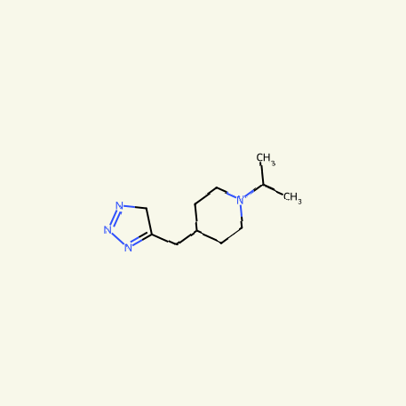 CC(C)N1CCC(CC2=NN=NC2)CC1